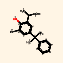 CCCCCCCCCCC(C)c1cc(C(C)(C)c2ccccc2)cc(C(C)C)c1O